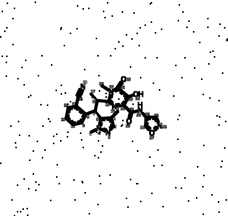 Cc1cnn(C)c1[C@@H](c1ccccc1C#N)[C@@H](C)c1nc(C(=O)Nc2cnoc2)c(O)c(=O)n1C